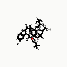 COc1ccc2nc(C(=O)C(C)(C)C)n(CC(=O)N(CCC(C)(C)C)CCC(C)(C)CC(C(=O)O)n3c(C(=O)C(C)(C)C)nc4ccc(OC)cc43)c2c1